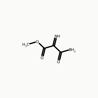 BC(=O)C(=N)C(=O)OC